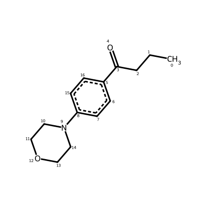 CCCC(=O)c1ccc(N2CCOCC2)cc1